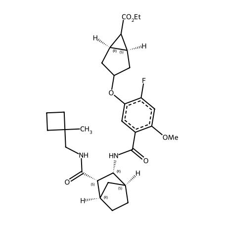 CCOC(=O)C1[C@H]2CC(Oc3cc(C(=O)N[C@@H]4[C@H]5CC[C@H](C5)[C@@H]4C(=O)NCC4(C)CCC4)c(OC)cc3F)C[C@@H]12